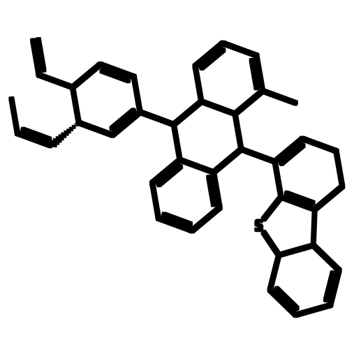 C=CC1C=CC(C2c3ccccc3C(C3=CCCC4=C3SC3C=CC=CC43)C3C(C)=CC=CC23)=C[C@@H]1/C=C\C